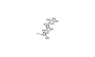 CCCCc1ccc(OC(CO)C(O)c2ccc(OC3OC(C)C(O)C(O)C3O)c(OC)c2)c(CO)c1